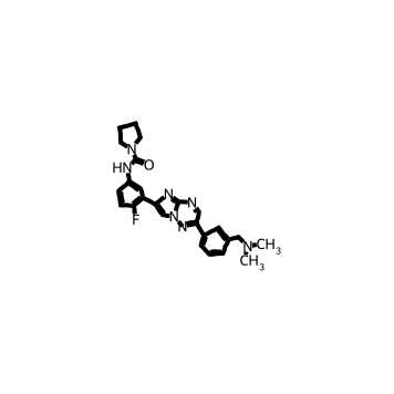 CN(C)Cc1cccc(-c2cnc3nc(-c4cc(NC(=O)N5CCCC5)ccc4F)cn3n2)c1